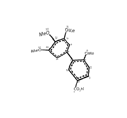 COc1ccc(C(=O)O)cc1-c1cc(OC)c(OC)c(OC)c1